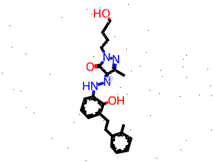 CC1=NN(CCCCO)C(=O)/C1=N\Nc1cccc(CCc2ccccc2C)c1O